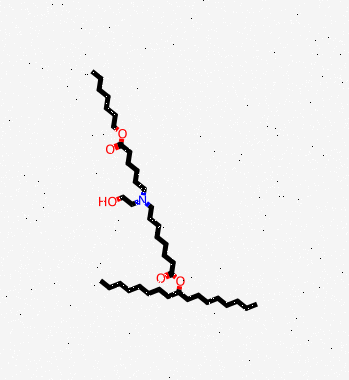 CCCCCCCCC(CCCCCCCC)OC(=O)CCCCCCCN(CCO)CCCCCC(=O)OCCCCCCC